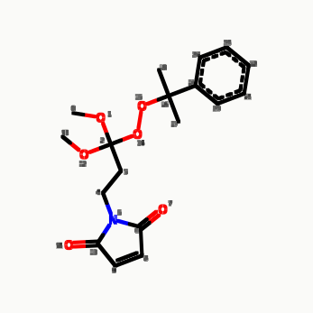 COC(CCN1C(=O)C=CC1=O)(OC)OOC(C)(C)c1ccccc1